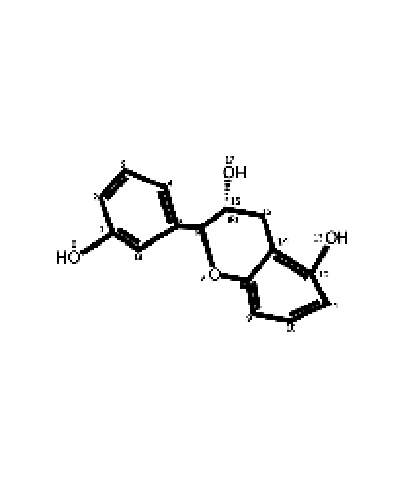 Oc1cccc(C2Oc3cccc(O)c3C[C@H]2O)c1